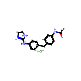 CC(C)C(=O)Nc1ccc(Cc2ccc(NC3=NCCN3)cc2)cc1.Cl